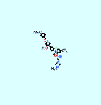 CCOc1cc(OCc2ccc(OC)cc2)ncc1-c1ccc(N(C(C)=O)c2ccc(C(F)(F)F)cc2C(=O)NCCN2CCN(C)CC2)c(F)c1